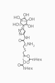 CCCCCCC(=O)OC[C@H](CSC[C@@H](N)C(=O)Nc1cn([C@@H]2[C@H](O)[C@H](O)[C@@H](O)[C@H](O)[C@H]2O)nn1)OC(=O)CCCCCC